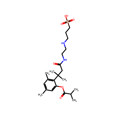 Cc1cc(C)c(C(C)(C)CC(=O)NCCNCCCS(=O)(=O)O)c(OC(=O)C(C)C)c1